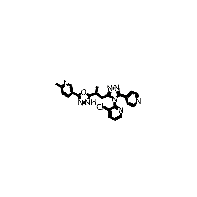 Cc1ccc(C2=NNC(C(C)Cc3nnc(-c4ccncc4)n3-c3ncccc3Cl)O2)cn1